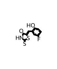 O=C1NC(=S)S/C1=C\c1cc(F)ccc1O